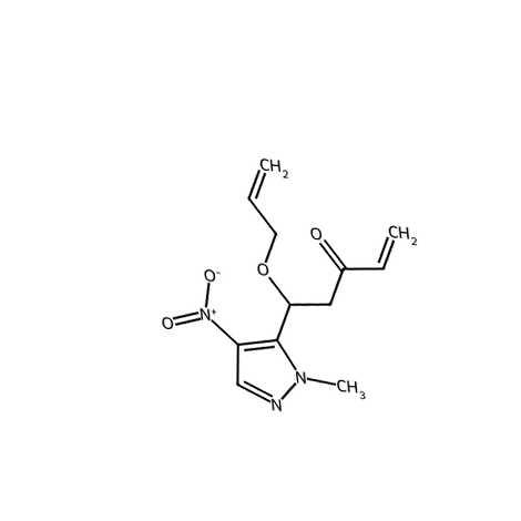 C=CCOC(CC(=O)C=C)c1c([N+](=O)[O-])cnn1C